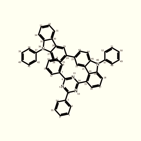 c1ccc(-c2nc(-c3ccccc3)nc(-c3cccc4c3c3cc(-c5ccc6c(c5)c5ccccc5n6-c5ccccc5)ccc3n4-c3ccccc3)n2)cc1